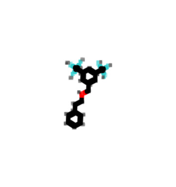 FC(F)(F)c1cc(CO[CH][CH]c2ccccc2)cc(C(F)(F)F)c1